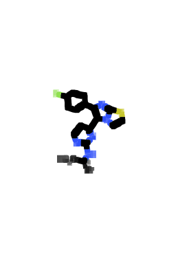 CC(C)[C@@H](Nc1nccc(-c2c(-c3ccc(F)cc3)nc3sccn23)n1)C(=O)O